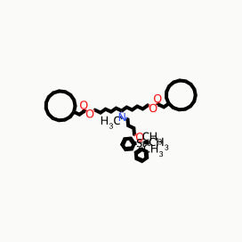 CN(CCCCO[Si](c1ccccc1)(c1ccccc1)C(C)(C)C)C(CCCCCOC(=O)CC1CCCCCCCCCCCCCC1)CCCCCOC(=O)CC1CCCCCCCCCCCCCC1